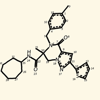 Cc1ccc(CN2C(=O)c3cc(-c4cccs4)nn3CC2(C)C(=O)NC2CCCCCC2)cc1